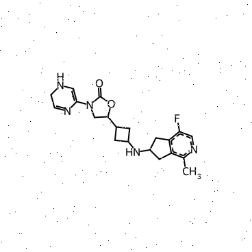 Cc1ncc(F)c2c1CC(NC1CC(C3CN(C4=CNCC=N4)C(=O)O3)C1)C2